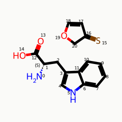 N[C@@H](Cc1c[nH]c2ccccc12)C(=O)O.S=C1C=COC1